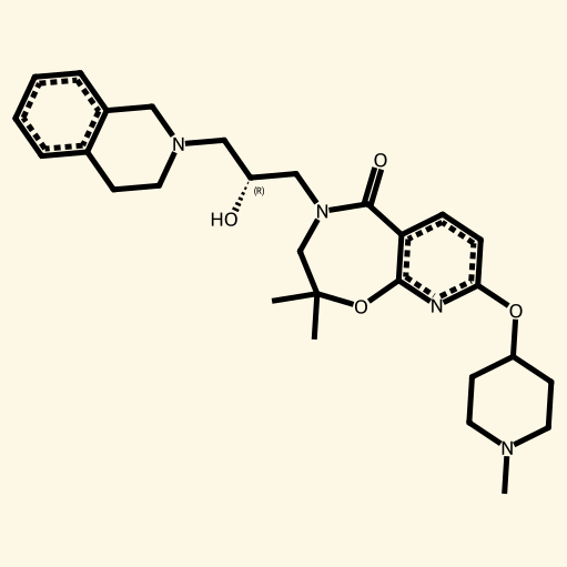 CN1CCC(Oc2ccc3c(n2)OC(C)(C)CN(C[C@H](O)CN2CCc4ccccc4C2)C3=O)CC1